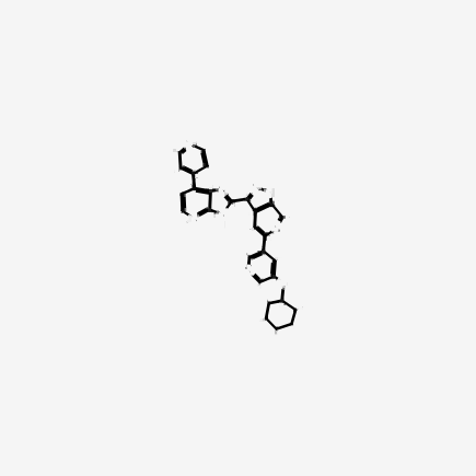 c1cc(-c2ccnc3[nH]c(-c4n[nH]c5cnc(-c6cncc(OC7CCCCC7)c6)cc45)nc23)ccn1